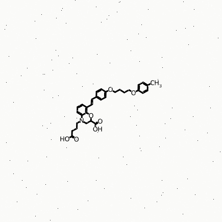 Cc1ccc(OCCCCOc2ccc(C=Cc3cccc4c3OC(C(=O)O)CN4CCCC(=O)O)cc2)cc1